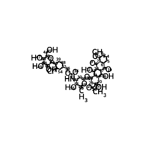 COc1cccc2c1C(=O)c1c(O)c3c(c(O)c1C2=O)C[C@@](O)(C(C)=O)C[C@@H]3OC1CC(NC(=O)OCc2ccc([C@@H]3O[C@H](CO)[C@H](O)[C@H](O)[C@H]3O)c(Cl)c2)C(O)C(C)O1